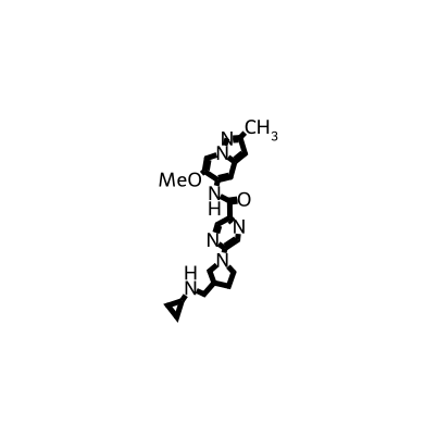 COc1cn2nc(C)cc2cc1NC(=O)c1cnc(N2CCC(CNC3CC3)C2)cn1